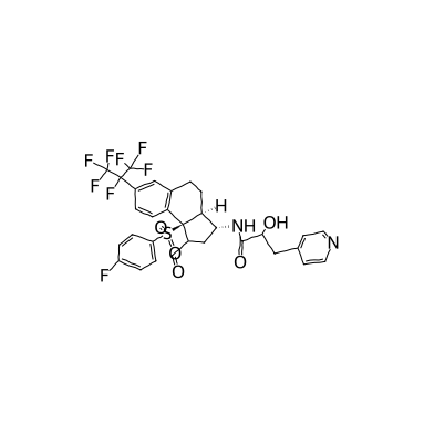 O=CC1C[C@@H](NC(=O)C(O)Cc2ccncc2)[C@@H]2CCc3cc(C(F)(C(F)(F)F)C(F)(F)F)ccc3[C@@]12S(=O)(=O)c1ccc(F)cc1